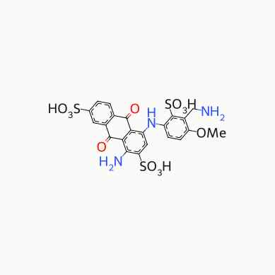 COc1ccc(Nc2cc(S(=O)(=O)O)c(N)c3c2C(=O)c2ccc(S(=O)(=O)O)cc2C3=O)c(S(=O)(=O)O)c1CN